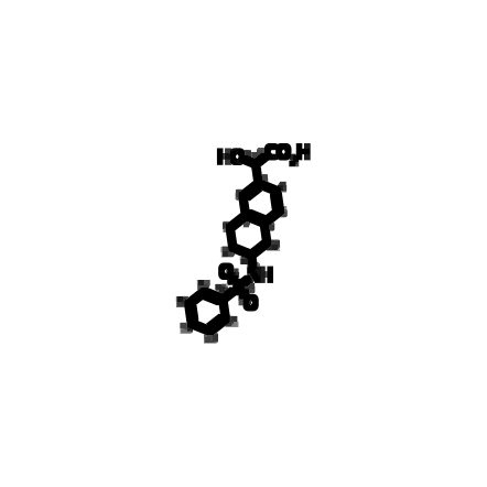 O=C(O)C(O)c1ccc2c(c1)CCC(NS(=O)(=O)c1ccccc1)C2